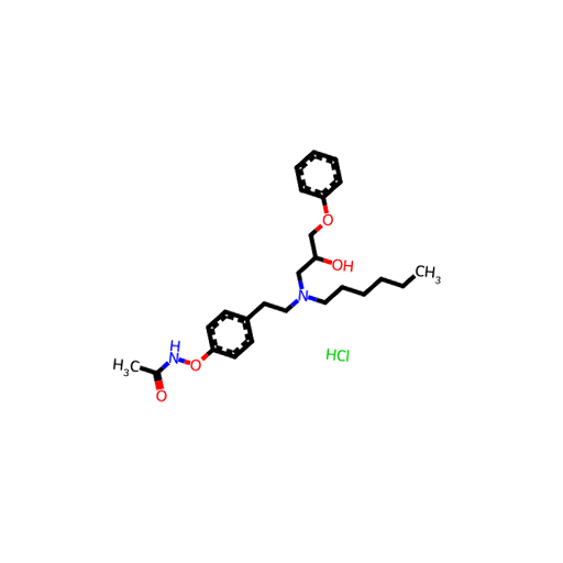 CCCCCCN(CCc1ccc(ONC(C)=O)cc1)CC(O)COc1ccccc1.Cl